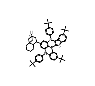 CC(C)(C)c1ccc(N2c3ccc(C(C)(C)C)cc3B3c4sc5ccc(C(C)(C)C)cc5c4N(c4ccc(C(C)(C)C)cc4)c4cc(C5C[C@@H]6CC7CCCC5C7C6)cc2c43)cc1